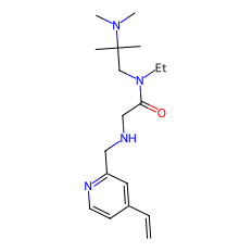 C=Cc1ccnc(CNCC(=O)N(CC)CC(C)(C)N(C)C)c1